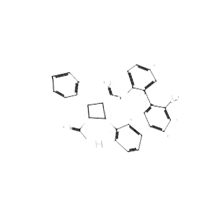 O=C(O)[C@H]1[C@H](c2ccccc2)[C@H](C(=O)Oc2ccccc2-c2ccccc2O)[C@H]1c1ccccc1